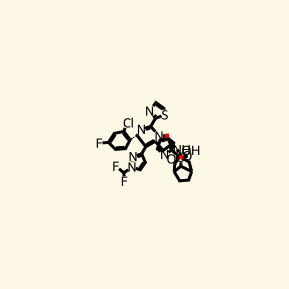 O=S(=O)(NC1CC2=C(c3ccn(C(F)F)n3)[C@H](c3ccc(F)cc3Cl)N=C(c3nccs3)N2C1)C1C2CCC1CC(O)(c1ccccn1)C2